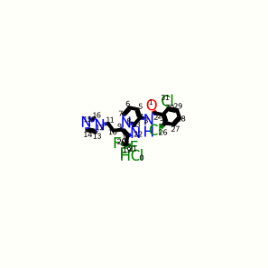 Cl.O=C(Nc1cccn2c(CCn3ccnc3)c(C(F)(F)F)nc12)c1c(Cl)cccc1Cl